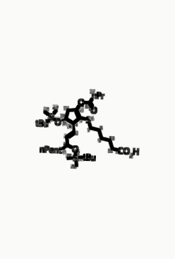 CCCCC[C@@H](C=C[C@@H]1C(SCCCCCC(=O)O)=C(OC(=O)CCC)C[C@H]1O[Si](C)(C)C(C)(C)C)O[Si](C)(C)C(C)(C)C